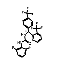 O=C(Nc1c(F)cccc1F)N[C@@H](c1ccc(C(F)(F)F)cc1)c1ncccc1C(F)(F)F